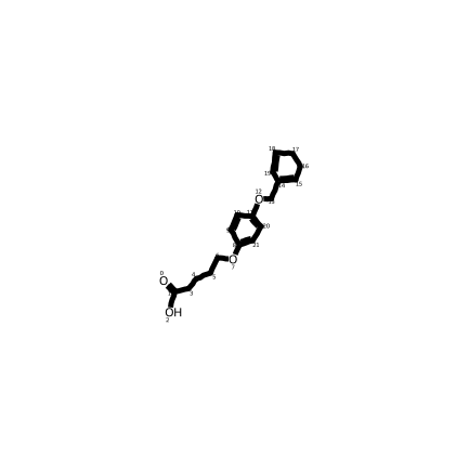 O=C(O)CCCCOc1ccc(OCC2=CCCC=C2)cc1